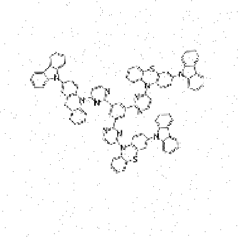 c1ccc2c(c1)Sc1cc(-n3c4ccccc4c4ccccc43)ccc1N2c1ccnc(-c2cc(-c3nccc(N4c5ccccc5Sc5cc(-n6c7ccccc7c7ccccc76)ccc54)n3)cc(-c3nccc(N4c5ccccc5Sc5cc(-n6c7ccccc7c7ccccc76)ccc54)n3)c2)n1